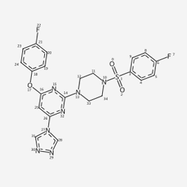 O=S(=O)(c1ccc(F)cc1)N1CCN(c2nc(Oc3ccc(F)cc3)cc(-n3cnnc3)n2)CC1